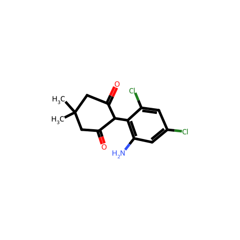 CC1(C)CC(=O)C(c2c(N)cc(Cl)cc2Cl)C(=O)C1